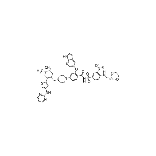 CC1(C)CCC(CN2CCN(c3ccc(C(=O)NS(=O)(=O)c4ccc(NC[C@H]5COCCO5)c([N+](=O)[O-])c4)c(Oc4cnc5[nH]ccc5c4)c3)CC2)=C(c2cc(Nc3ncccn3)cs2)C1